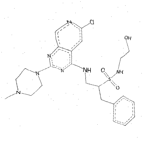 CN1CCN(c2nc(NCC(Cc3ccccc3)S(=O)(=O)NCCO)c3cc(Cl)ncc3n2)CC1